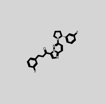 O=C(CCc1cccc(F)c1)c1cnc2ccc(N3CCC[C@@H]3c3cccc(F)c3)nn12